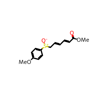 COC(=O)/C=C/C=C/C[S+]([O-])c1ccc(OC)cc1